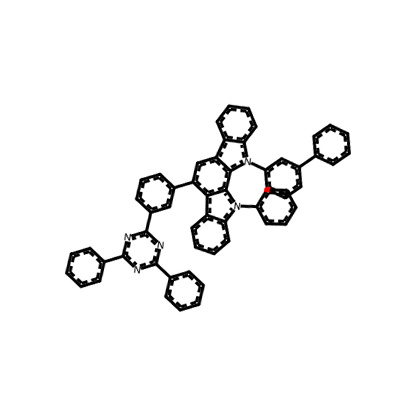 c1ccc(-c2cccc(-n3c4ccccc4c4cc(-c5cccc(-c6nc(-c7ccccc7)nc(-c7ccccc7)n6)c5)c5c6ccccc6n(-c6ccccc6)c5c43)c2)cc1